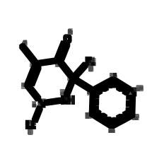 CCN1C=C(C)C(=O)C(CC)(c2cccnc2)N1